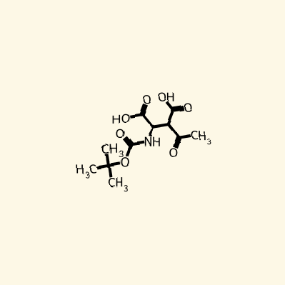 CC(=O)C(C(=O)O)[C@@H](NC(=O)OC(C)(C)C)C(=O)O